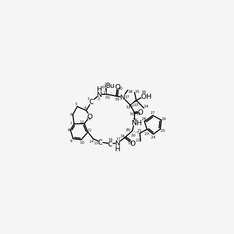 CCC(C)[C@@H]1NCC2CCc3cccc(c3O2)CCCNC(=O)[C@@H](C(C)c2ccccc2)NC(=O)[C@H](C(C)(C)O)N(C)C1=O